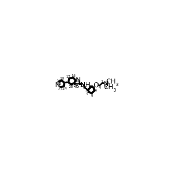 CN(C)CCOc1cccc(CNc2nc3ccc(-c4ccncc4)cc3s2)c1